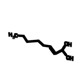 CCCCCC=CC(O)O